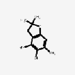 CCCc1c(O)c(C)cc2c1CC(C)(C)O2